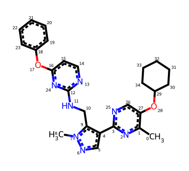 Cc1nc(-c2cnn(C)c2CNc2nccc(Oc3ccccc3)n2)ncc1OC1CCCCC1